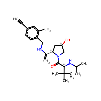 C#Cc1ccc(CNC(=C)[C@@H]2C[C@@H](O)CN2C(=O)[C@@H](NC(C)C)C(C)(C)C)c(C)c1